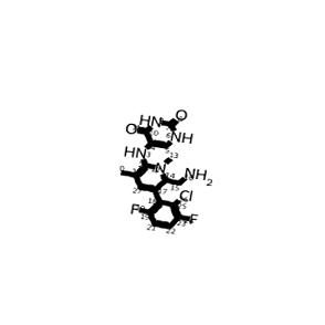 CC1=C(Nc2c[nH]c(=O)[nH]c2=O)N(C)C(CN)C(c2c(F)ccc(F)c2Cl)=C1